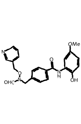 COc1ccc(O)c(NC(=O)c2ccc(CN(C=O)OCc3cccnc3)cc2)c1